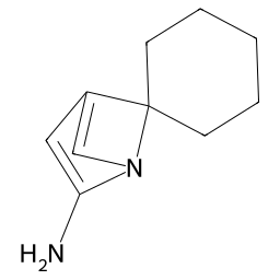 Nc1cc2cn1C21CCCCC1